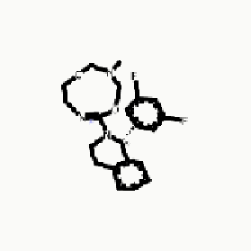 CN1CCCC/N=C(/N2CCc3ccccc3[C@H]2c2cc(F)cc(F)c2)OC1